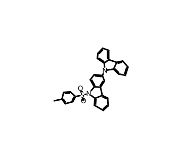 Cc1ccc(S(=O)(=O)n2c3ccccc3c3cc(-n4c5ccccc5c5ccccc54)ccc32)cc1